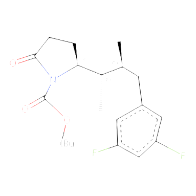 C[C@@H]([C@@H](C)Cc1cc(F)cc(F)c1)[C@@H]1CCC(=O)N1C(=O)OC(C)(C)C